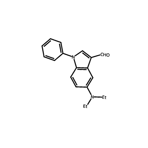 CCN(CC)c1ccc2c(c1)c(C=O)cn2-c1ccccc1